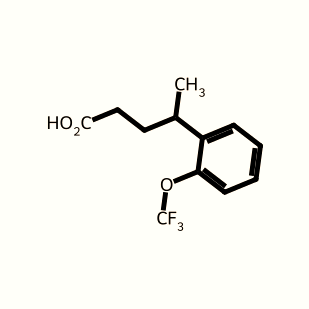 CC(CCC(=O)O)c1ccccc1OC(F)(F)F